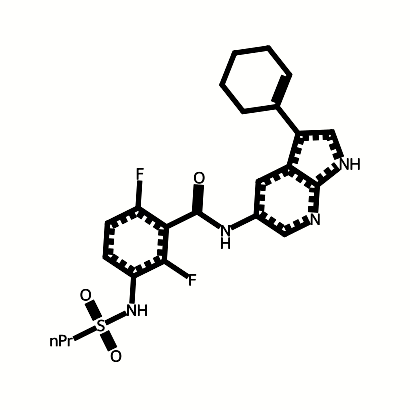 CCCS(=O)(=O)Nc1ccc(F)c(C(=O)Nc2cnc3[nH]cc(C4=CCCCC4)c3c2)c1F